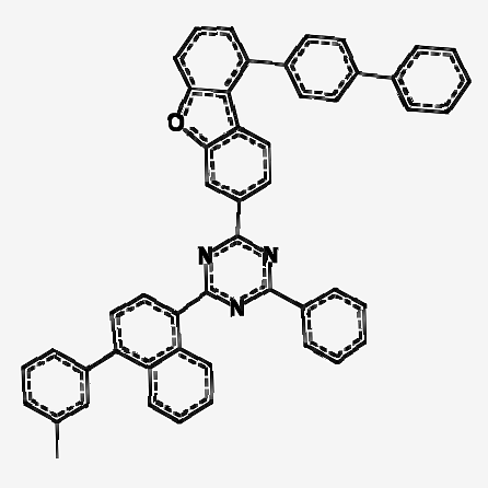 Cc1cccc(-c2ccc(-c3nc(-c4ccccc4)nc(-c4ccc5c(c4)oc4cccc(-c6ccc(-c7ccccc7)cc6)c45)n3)c3ccccc23)c1